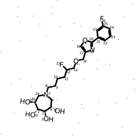 O[C@H]1[C@H](O)[C@@H](O)CN(CCCCC(F)COCc2coc(-c3cccc(F)c3)n2)C[C@@H]1O